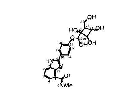 CNC(=O)c1cccc2[nH]c(-c3ccc(OC(O)C4(O)C(O)C(O)C4CO)cc3)nc12